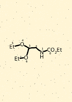 CCOC(=O)NCC(OCC)OCC